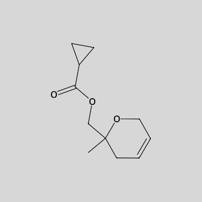 CC1(COC(=O)C2CC2)CC=CCO1